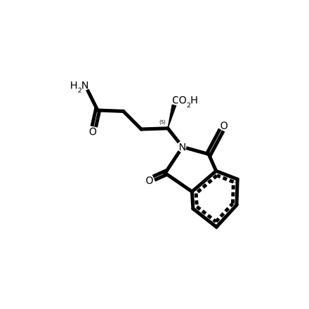 NC(=O)CC[C@@H](C(=O)O)N1C(=O)c2ccccc2C1=O